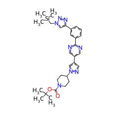 CC(C)(C)OC(=O)N1CCC(n2cc(-c3cnc(-c4cccc(-c5cn(C[Si](C)(C)C)nn5)c4)nc3)cn2)CC1